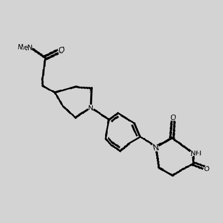 CNC(=O)CC1CCN(c2ccc(N3CCC(=O)NC3=O)cc2)CC1